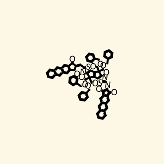 O=C1C(=Cc2nc3c(s2)C2=C(c4sc(N=c5c(=O)c6cc7cc8ccccc8cc7cc6c5=O)nc4C2(C(=O)OCc2ccccc2)C(=O)OCc2ccccc2)C3(C(=O)OCc2ccccc2)C(=O)OCc2ccccc2)C(=O)c2cc3cc4ccccc4cc3cc21